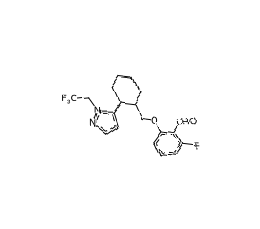 O=Cc1c(F)cccc1OCC1CCCCC1c1ccnn1CC(F)(F)F